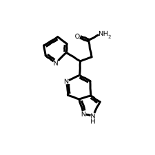 NC(=O)CC(c1ccccn1)c1cc2c[nH]nc2cn1